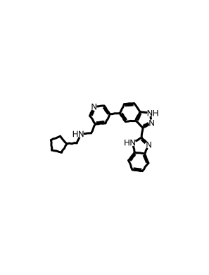 c1ccc2[nH]c(-c3n[nH]c4ccc(-c5cncc(CNCC6CCCC6)c5)cc34)nc2c1